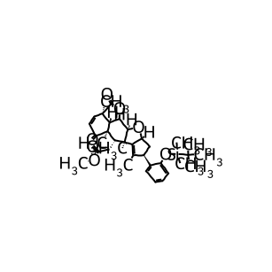 COC(=O)C[C@H]1[C@]2(C)C3=C(C)[C@H](c4ccccc4O[Si](C)(C)C(C)(C)C)C[C@H]3O[C@@H]2[C@@H]2OC(=O)[C@]3(C)C=CC(=O)[C@@]1(C)[C@@H]23